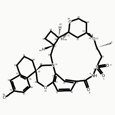 C[C@@H]1CS(=O)(=O)NC(=O)c2ccc3c(c2)N(C[C@@H]2CC[C@H]2[C@@H]2C[C@H](CCO2)O1)C[C@@]1(CCCc2cc(Cl)ccc21)CO3